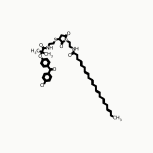 CCC=CCC=CCC=CCC=CCC=CCC=CCCC(=O)NCCN1C(=O)CC(SCCNC(=O)C(C)(C)Oc2ccc(C(=O)c3ccc(Cl)cc3)cc2)C1=O